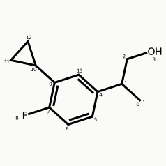 [CH2]C(CO)c1ccc(F)c(C2CC2)c1